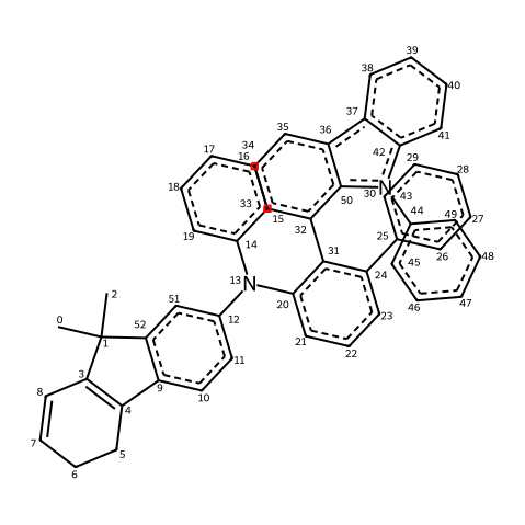 CC1(C)C2=C(CCC=C2)c2ccc(N(c3ccccc3)c3cccc(-c4ccccc4)c3-c3cccc4c5ccccc5n(-c5ccccc5)c34)cc21